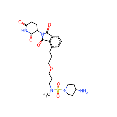 CN(CCCOCCCc1cccc2c1C(=O)N(C1CCC(=O)NC1=O)C2=O)S(=O)(=O)N1CCC(N)CC1